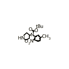 Cc1ccc([N+](=O)[O-])c(N(C(=O)OC(C)(C)C)C2CCNCC2)c1